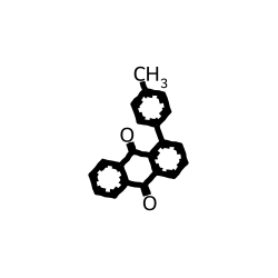 Cc1ccc(-c2cccc3c2C(=O)c2ccccc2C3=O)cc1